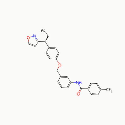 CC(=O)C[C@@H](c1ccc(OCc2cccc(NC(=O)c3ccc(C(F)(F)F)cc3)c2)cc1)c1ccon1